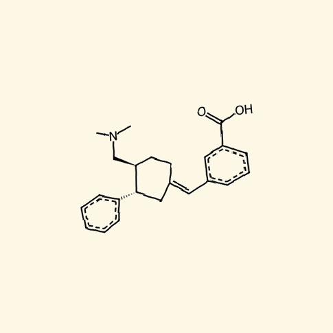 CN(C)C[C@H]1CC/C(=C\c2cccc(C(=O)O)c2)C[C@@H]1c1ccccc1